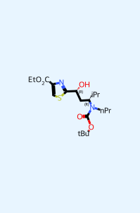 CCCN(C(=O)OC(C)(C)C)[C@H](C[C@@H](O)c1nc(C(=O)OCC)cs1)C(C)C